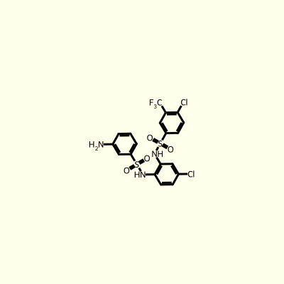 Nc1cccc(S(=O)(=O)Nc2ccc(Cl)cc2NS(=O)(=O)c2ccc(Cl)c(C(F)(F)F)c2)c1